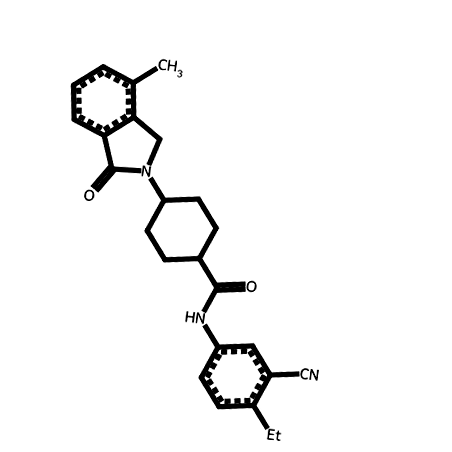 CCc1ccc(NC(=O)C2CCC(N3Cc4c(C)cccc4C3=O)CC2)cc1C#N